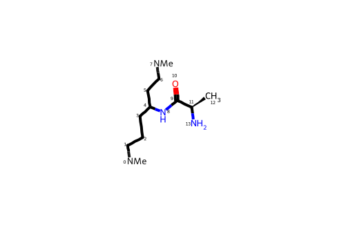 CNCCCC(CCNC)NC(=O)[C@@H](C)N